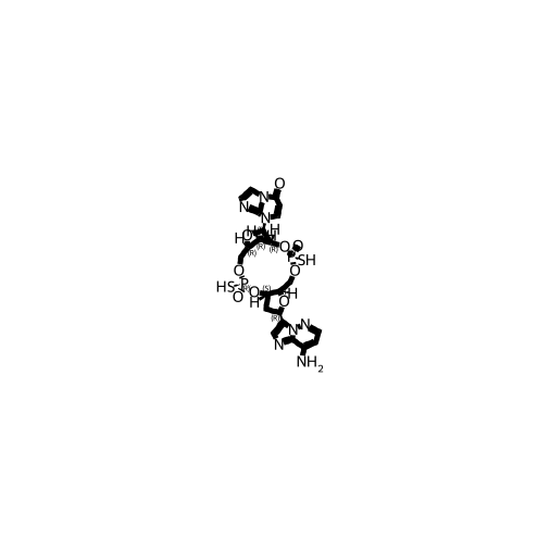 Nc1ccnn2c([C@H]3C[C@@H]4O[P@](=O)(S)OC[C@H]5O[C@@H](n6ccc(=O)n7ccnc67)[C@H](O[P@](=O)(S)OC[C@H]4O3)[C@@H]5O)cnc12